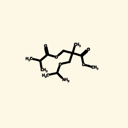 COC(=O)C(C)(COC(=O)C(C)C)COC(C)N